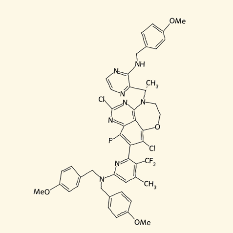 COc1ccc(CNc2nccnc2[C@H](C)N2CCOc3c(Cl)c(-c4nc(N(Cc5ccc(OC)cc5)Cc5ccc(OC)cc5)cc(C)c4C(F)(F)F)c(F)c4nc(Cl)nc2c34)cc1